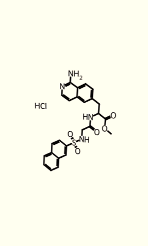 COC(=O)C(Cc1ccc2c(N)nccc2c1)NC(=O)CNS(=O)(=O)c1ccc2ccccc2c1.Cl